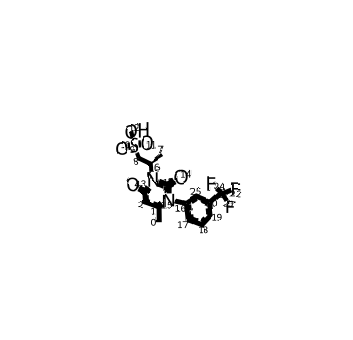 Cc1cc(=O)n([C@H](C)CS(=O)(=O)O)c(=O)n1-c1cccc(C(F)(F)F)c1